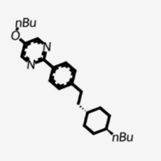 CCCCOc1cnc(-c2ccc(CC[C@H]3CC[C@H](CCCC)CC3)cc2)nc1